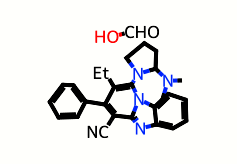 CCc1c(-c2ccccc2)c(C#N)c2nc3ccccc3n2c1N1CCCC1N(C)C.O=CO